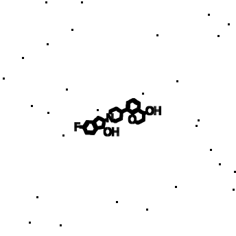 OC1CCOc2c1cccc2C1CCN([C@@H]2Cc3cc(F)ccc3[C@H]2O)CC1